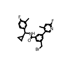 Cc1cc(C(NC(=O)c2cc(CBr)cc(-c3cnc(F)cc3C)c2)C2CC2)ccc1F